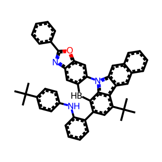 CC(C)(C)c1ccc(Nc2ccccc2-c2cc(C(C)(C)C)c3c4cc5ccccc5cc4n4c3c2Bc2cc3nc(-c5ccccc5)oc3cc2-4)cc1